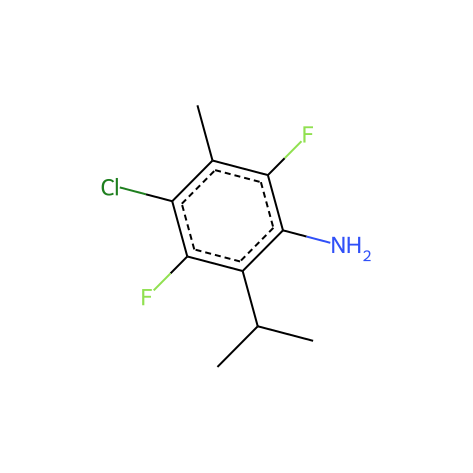 Cc1c(F)c(N)c(C(C)C)c(F)c1Cl